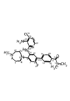 CN1CCCN(c2cc(F)c(-c3ccc(C(=O)N(C)C)cc3)cc2Nc2ncnc(Cl)c2N)CC1